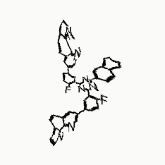 Fc1ccc(-c2cnc3c(ccc4cccnc43)c2)cc1-c1nc(-c2ccc3ccccc3c2)nc(-c2cc(-c3cnc4c(ccc5cccnc54)c3)ccc2F)n1